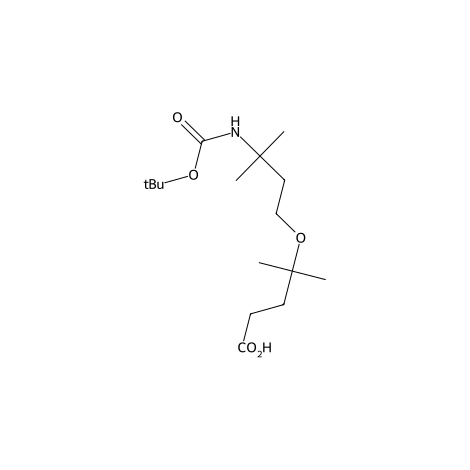 CC(C)(CCOC(C)(C)CCC(=O)O)NC(=O)OC(C)(C)C